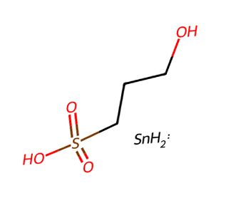 O=S(=O)(O)CCCO.[SnH2]